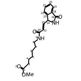 COC(=O)CCCCCCNC(=O)C=CC1NC(=O)c2ccccc21